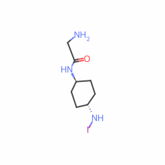 NCC(=O)N[C@H]1CC[C@H](NI)CC1